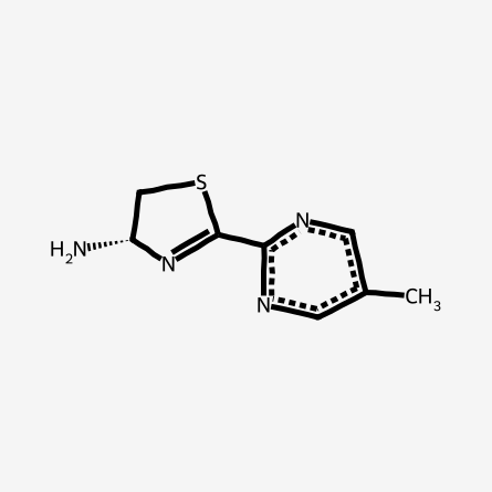 Cc1cnc(C2=N[C@H](N)CS2)nc1